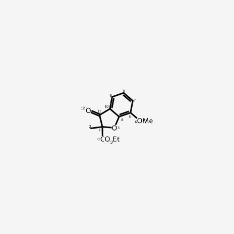 CCOC(=O)C1(C)Oc2c(OC)cccc2C1=O